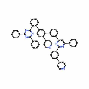 c1ccc(-c2cc(-c3cccc(-c4cc(-c5ccccc5-c5nc(-c6ccccc6)nc(-c6ccccc6)n5)ccc4-c4ccncc4)c3)nc(-c3cccc(-c4ccncc4)c3)n2)cc1